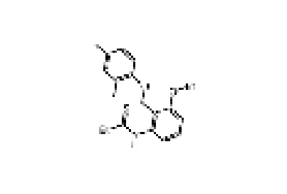 CCOc1cccc(NC(=S)CC)c1COc1ccc(C)cc1C